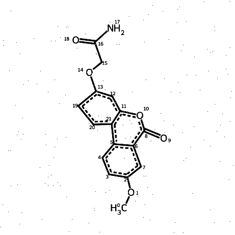 COc1ccc2c(c1)c(=O)oc1cc(OCC(N)=O)ccc12